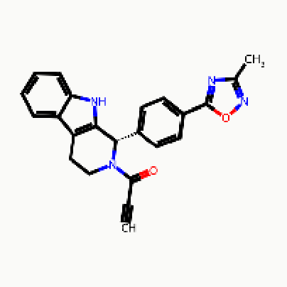 C#CC(=O)N1CCc2c([nH]c3ccccc23)[C@@H]1c1ccc(-c2nc(C)no2)cc1